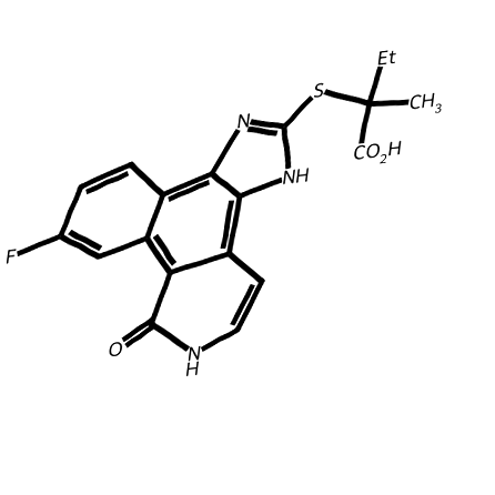 CCC(C)(Sc1nc2c3ccc(F)cc3c3c(=O)[nH]ccc3c2[nH]1)C(=O)O